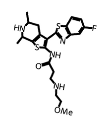 COCCNCCC(=O)Nc1sc2c(c1-c1nc3cc(F)ccc3s1)CC(C)NC2C